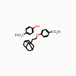 CCOC(=O)c1ccc(O)cc1.CCOC(=O)c1ccc(OCCC23CC4CC(CC(C4)C2)C3)cc1